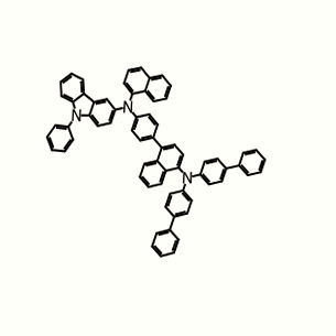 c1ccc(-c2ccc(N(c3ccc(-c4ccccc4)cc3)c3ccc(-c4ccc(N(c5ccc6c(c5)c5ccccc5n6-c5ccccc5)c5cccc6ccccc56)cc4)c4ccccc34)cc2)cc1